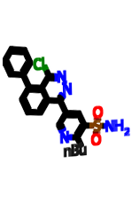 CCCCc1ncc(-c2nnc(Cl)c3c(-c4ccccc4)cccc23)cc1S(N)(=O)=O